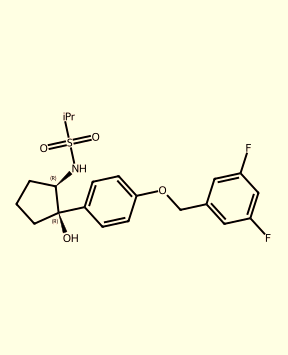 CC(C)S(=O)(=O)N[C@@H]1CCC[C@@]1(O)c1ccc(OCc2cc(F)cc(F)c2)cc1